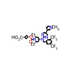 CC[C@@H]1C[C@H](N(Cc2cc(C(F)(F)F)cc(C(F)(F)F)c2)c2ncc(-c3ccn(C)c3)cn2)C[C@H](CC)N1C(=O)O[C@H]1C[C@H](C(=O)O)C1